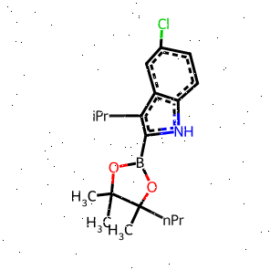 CCCC1(C)OB(c2[nH]c3ccc(Cl)cc3c2C(C)C)OC1(C)C